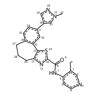 Cc1cnccc1NC(=O)c1nc2c(s1)-c1cc(-c3cnn(C)c3)ccc1CCC2